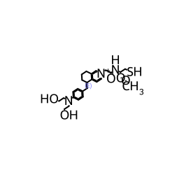 COOC(CS)NC(=O)C[n+]1ccc2c(c1)CCC/C2=C\c1ccc(N(CCO)CCO)cc1